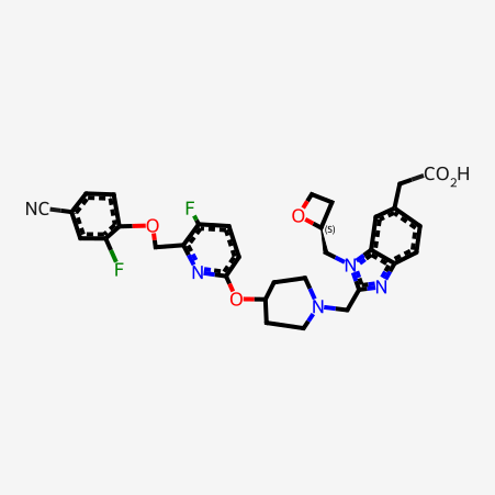 N#Cc1ccc(OCc2nc(OC3CCN(Cc4nc5ccc(CC(=O)O)cc5n4C[C@@H]4CCO4)CC3)ccc2F)c(F)c1